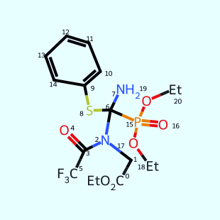 CCOC(=O)CN(C(=O)C(F)(F)F)C(N)(Sc1ccccc1)P(=O)(OCC)OCC